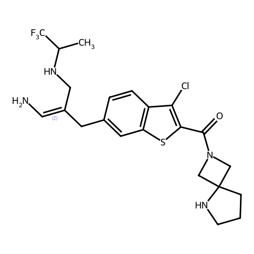 CC(NC/C(=C\N)Cc1ccc2c(Cl)c(C(=O)N3CC4(CCCN4)C3)sc2c1)C(F)(F)F